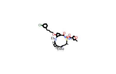 CCN1C[C@@H]2CC[C@H]2[C@@H](OC)/C=C/C[C@H](C)CS(=O)(NC(=O)c2coc(C)c2)=NC(=O)c2ccc(OCCCCc3cccc(Cl)c3)c1c2